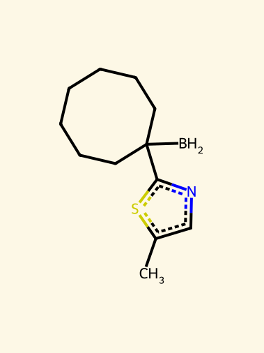 BC1(c2ncc(C)s2)CCCCCCC1